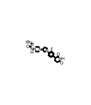 CC(C)(C)OC(=O)NN1CCN(C2CCN(c3ccc(C4CCC(=O)NC4=O)cc3F)C2)CC1